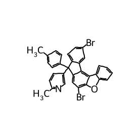 Cc1ccc(C2(c3ccc(C)nc3)c3ccc(Br)cc3-c3c2cc(Br)c2oc4ccccc4c32)cc1